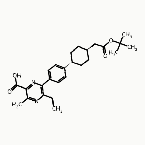 CCc1nc(C)c(C(=O)O)nc1-c1ccc([C@H]2CC[C@H](CC(=O)OC(C)(C)C)CC2)cc1